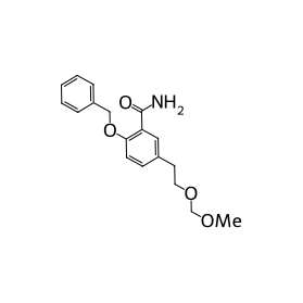 COCOCCc1ccc(OCc2ccccc2)c(C(N)=O)c1